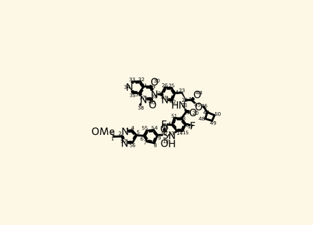 COCc1ncc(-c2ccc(S(=O)(=O)Nc3cc(F)c(C(=O)N[C@@H](Cc4ccc(-n5c(=O)c6ccncc6n(C)c5=O)nc4)C(=O)OCC4CCC4)cc3F)cc2)cn1